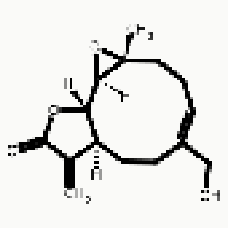 C=C1C(=O)O[C@@H]2[C@H]3O[C@]3(C)CC/C=C(/CO)CC[C@@H]12